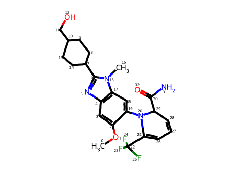 COc1cc2nc(C3CCC(CO)CC3)n(C)c2cc1N1C(C(F)(F)F)=CC=CC1C(N)=O